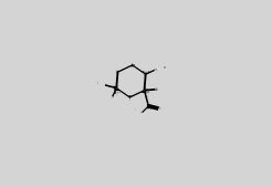 CC(=O)C1(C)CC(F)(F)CCC1O